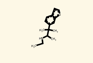 CCNC(C)C(C)(C)c1ccc2ccsc2c1